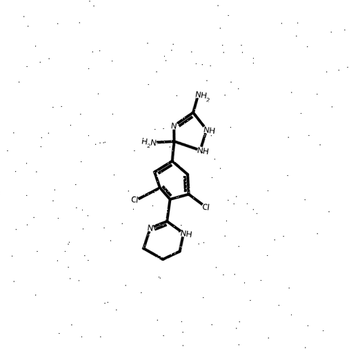 NC1=NC(N)(c2cc(Cl)c(C3=NCCCN3)c(Cl)c2)NN1